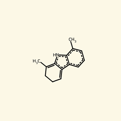 CC1=c2[nH]c3c(C)cccc3c2=CCC1